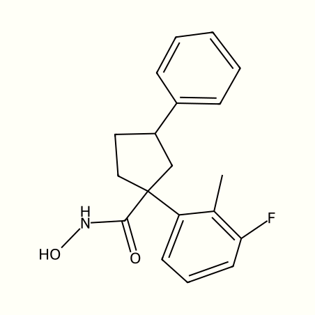 Cc1c(F)cccc1C1(C(=O)NO)CCC(c2ccccc2)C1